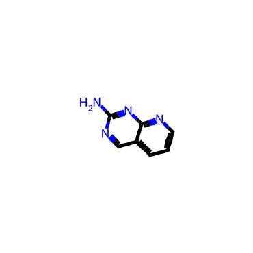 Nc1ncc2cccnc2n1